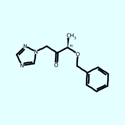 C[C@@H](OCc1ccccc1)C(=O)Cn1cncn1